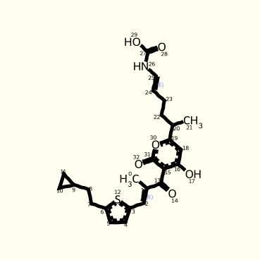 C/C(=C\c1ccc(CCC2CC2)s1)C(=O)c1c(O)cc(C(C)CC/C=C/NC(=O)O)oc1=O